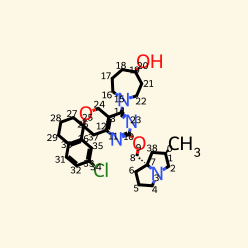 C[C@H]1CN2CCC[C@@]2(COc2nc3c(c(N4CCCC(O)CC4)n2)COC2(CCCc4ccc(Cl)cc42)C3)C1